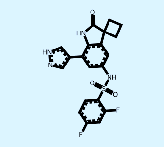 O=C1Nc2c(-c3cn[nH]c3)cc(NS(=O)(=O)c3ccc(F)cc3F)cc2C12CCC2